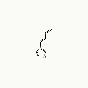 [CH]=C/C=C/c1ccoc1